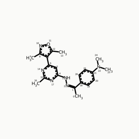 CC(=NNc1cc(-c2c(C)noc2C)nc(C)n1)c1ccc(N(C)C)cc1